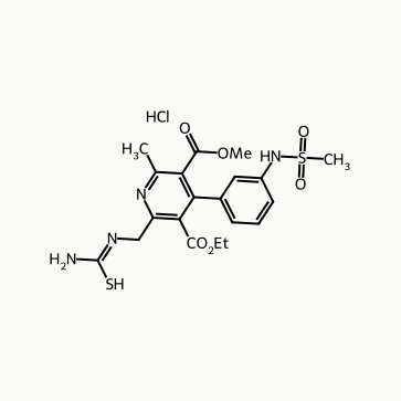 CCOC(=O)c1c(CN=C(N)S)nc(C)c(C(=O)OC)c1-c1cccc(NS(C)(=O)=O)c1.Cl